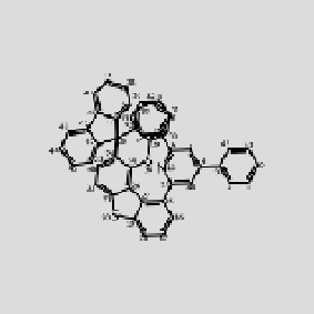 c1ccc(-c2cc(-c3ccccc3)nc(-c3cccc4sc5ccc6c(c5c34)Sc3ccccc3C63c4ccccc4-c4ccccc43)c2)cc1